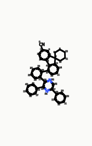 N#Cc1ccc2c(c1)C1(CCCCC1)c1cccc(-c3ccccc3-c3ncc(-c4ccccc4)nc3-c3ccccc3)c1-2